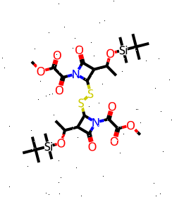 COC(=O)C(=O)N1C(=O)C(C(C)O[Si](C)(C)C(C)(C)C)C1SSC1C(C(C)O[Si](C)(C)C(C)(C)C)C(=O)N1C(=O)C(=O)OC